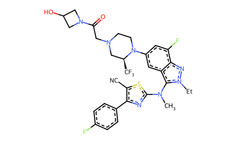 CCn1nc2c(F)cc(N3CCN(CC(=O)N4CC(O)C4)C[C@@H]3C(F)(F)F)cc2c1N(C)c1nc(-c2ccc(F)cc2)c(C#N)s1